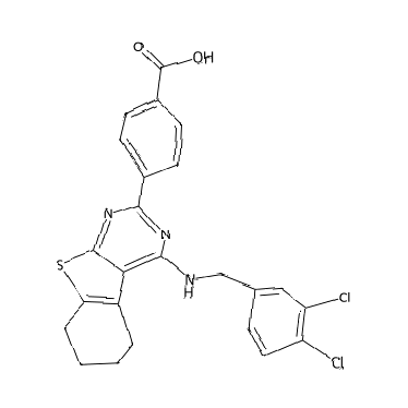 O=C(O)c1ccc(-c2nc(NCc3ccc(Cl)c(Cl)c3)c3c4c(sc3n2)CCCC4)cc1